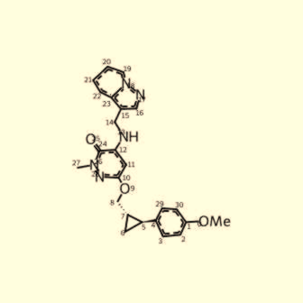 COc1ccc([C@H]2C[C@@H]2COc2cc(NCc3cnn4ccccc34)c(=O)n(C)n2)cc1